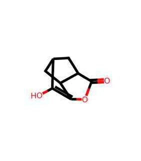 O=C1OC2=C(O)C3CC1C2C3